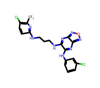 FC(F)(F)c1nc(NCCCNc2nc3nonc3nc2Nc2cccc(Cl)c2)ccc1Cl